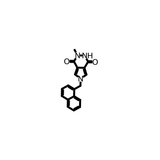 Cn1[nH]c(=O)c2cn(Cc3cccc4ccccc34)cc2c1=O